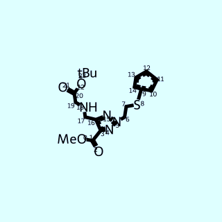 COC(=O)c1nn(CCSc2ccccc2)nc1CNCC(=O)OC(C)(C)C